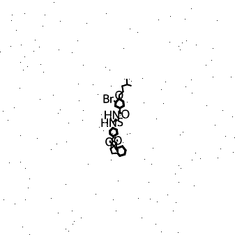 CC(C)CCOc1ccc(C(=O)NC(=S)Nc2ccc(S(=O)(=O)N3CCc4ccccc43)cc2)cc1Br